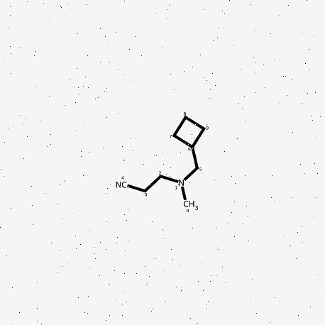 CN(CCC#N)CC1CCC1